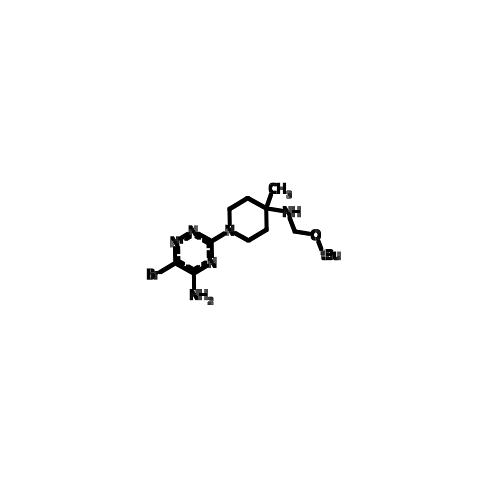 CC1(NCOC(C)(C)C)CCN(c2nnc(Br)c(N)n2)CC1